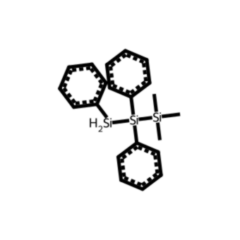 C[Si](C)(C)[Si]([SiH2]c1ccccc1)(c1ccccc1)c1ccccc1